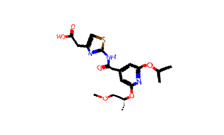 COC[C@@H](C)Oc1cc(C(=O)Nc2nc(CC(=O)O)cs2)cc(OC(C)C)n1